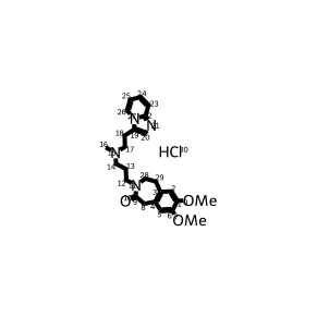 COc1cc2c(cc1OC)CC(=O)N(CCCN(C)CCc1cnc3ccccn13)CC2.Cl